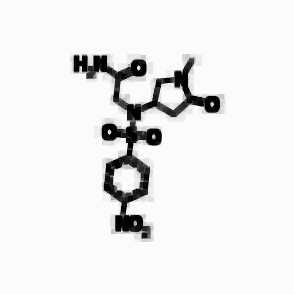 CN1CC(N(CC(N)=O)S(=O)(=O)c2ccc([N+](=O)[O-])cc2)CC1=O